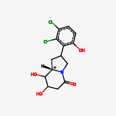 O=C1CC(O)C(O)[C@@H]2CC(c3c(O)ccc(Cl)c3Cl)CN12